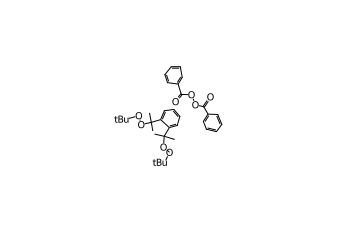 CC(C)(C)OOC(C)(C)c1ccccc1C(C)(C)OOC(C)(C)C.O=C(OOC(=O)c1ccccc1)c1ccccc1